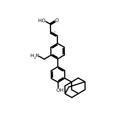 NCc1cc(/C=C/C(=O)O)ccc1-c1ccc(O)c(C23CC4CC(CC(C4)C2)C3)c1